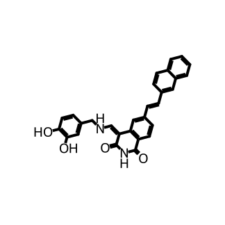 O=C1NC(=O)c2ccc(C=Cc3ccc4ccccc4c3)cc2C1=CNCc1ccc(O)c(O)c1